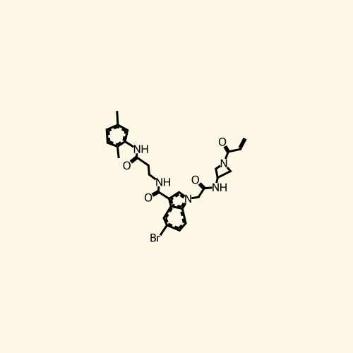 C=CC(=O)N1CC(NC(=O)Cn2cc(C(=O)NCCC(=O)Nc3cc(C)ccc3C)c3cc(Br)ccc32)C1